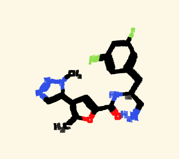 Cc1oc(C(=O)N[C@H](CN)Cc2cc(F)cc(F)c2)cc1-c1cnnn1C